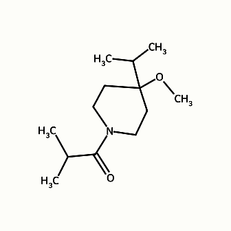 COC1(C(C)C)CCN(C(=O)C(C)C)CC1